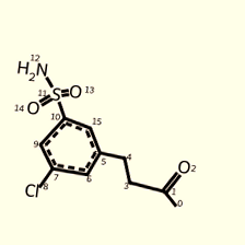 CC(=O)CCc1cc(Cl)cc(S(N)(=O)=O)c1